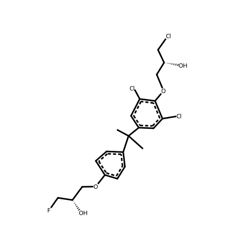 CC(C)(c1ccc(OC[C@H](O)CF)cc1)c1cc(Cl)c(OC[C@@H](O)CCl)c(Cl)c1